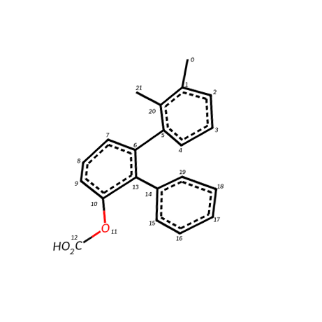 Cc1cccc(-c2cccc(OC(=O)O)c2-c2ccccc2)c1C